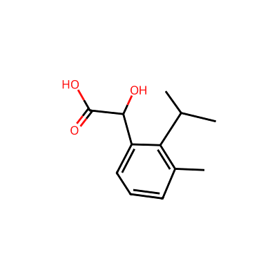 Cc1cccc(C(O)C(=O)O)c1C(C)C